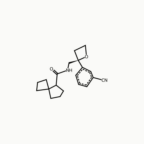 N#Cc1cccc([C@]2(CNC(=O)C3CCCC34CCC4)CCO2)c1